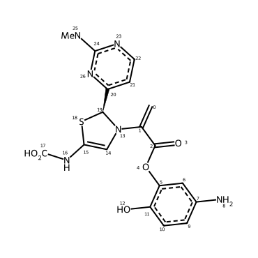 C=C(C(=O)Oc1cc(N)ccc1O)N1C=C(NC(=O)O)S[C@H]1c1ccnc(NC)n1